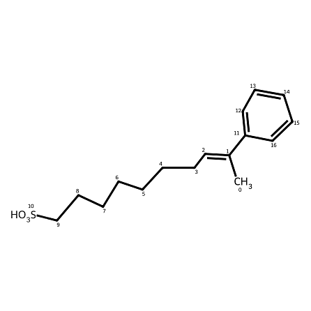 C/C(=C\CCCCCCCS(=O)(=O)O)c1ccccc1